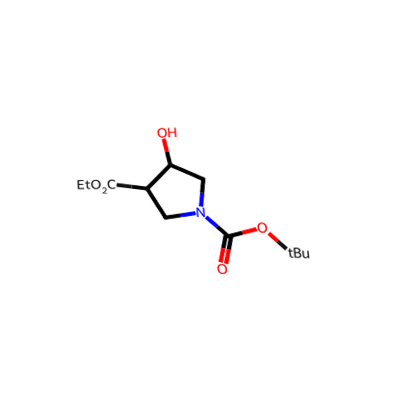 CCOC(=O)C1CN(C(=O)OC(C)(C)C)CC1O